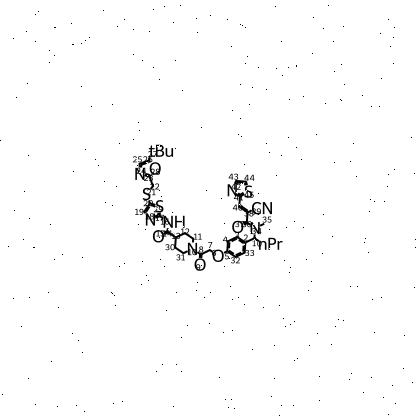 CCCC(c1ccc(OCC(=O)N2CCC(C(=O)Nc3ncc(SCc4ncc(C(C)(C)C)o4)s3)CC2)cc1)N(C)C(=O)/C(C#N)=C/c1nccs1